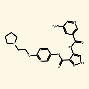 O=C(Nc1c[nH]nc1C(=O)Nc1ccc(OCCN2CCCC2)nc1)c1cncc(C(F)(F)F)c1